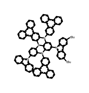 CC(C)(C)c1ccc2c(c1)c1cc(C(C)(C)C)ccc1n2-c1cc2c3c(c1)N(c1ccc4c5ccccc5c5ccccc5c4c1)c1cc4c5ccccc5c5ccccc5c4cc1B3c1ccc(-n3c4ccccc4c4ccccc43)cc1N2c1ccc2c3ccccc3c3ccccc3c2c1